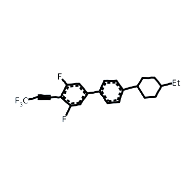 CCC1CCC(c2ccc(-c3cc(F)c(C#CC(F)(F)F)c(F)c3)cc2)CC1